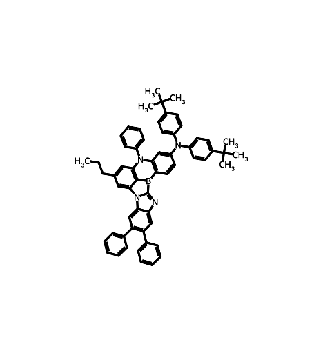 CCCc1cc2c3c(c1)-n1c(nc4cc(-c5ccccc5)c(-c5ccccc5)cc41)B3c1ccc(N(c3ccc(C(C)(C)C)cc3)c3ccc(C(C)(C)C)cc3)cc1N2c1ccccc1